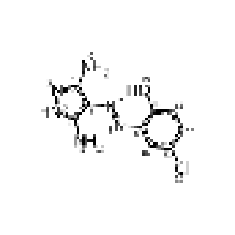 Nc1n[nH]c(N)c1N=Nc1cc(Cl)ccc1O